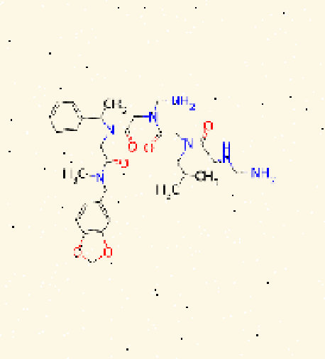 CC(C)CN(CC(=O)N(CN)CC(=O)N(CC(=O)N(C)Cc1ccc2c(c1)OCO2)C(C)c1ccccc1)C(=O)CNCN